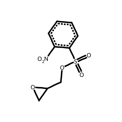 O=[N+]([O-])c1ccccc1S(=O)(=O)OCC1CO1